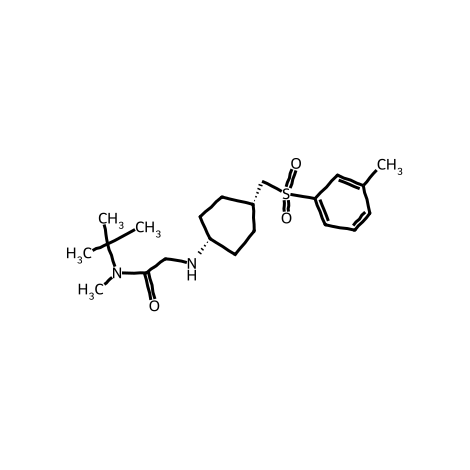 Cc1cccc(S(=O)(=O)C[C@H]2CC[C@@H](NCC(=O)N(C)C(C)(C)C)CC2)c1